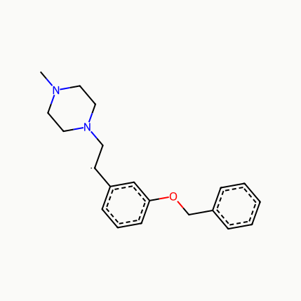 CN1CCN(C[CH]c2cccc(OCc3ccccc3)c2)CC1